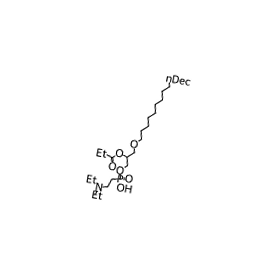 CCCCCCCCCCCCCCCCCCCOCC(COP(=O)(O)CCN(CC)CC)OC(=O)CC